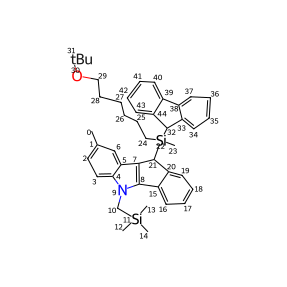 Cc1ccc2c(c1)c1c(n2C[Si](C)(C)C)-c2ccccc2C1[Si](C)(CCCCCCOC(C)(C)C)C1c2ccccc2-c2ccccc21